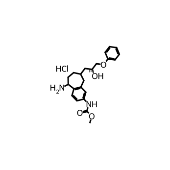 COC(=O)Nc1ccc2c(c1)CC(C[C@H](O)COc1ccccc1)CCC2N.Cl